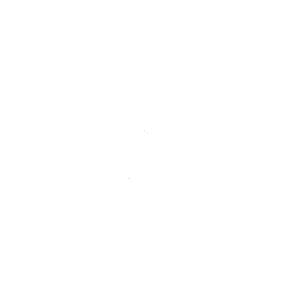 CC(N1CCCCC1)S(=O)(=O)O